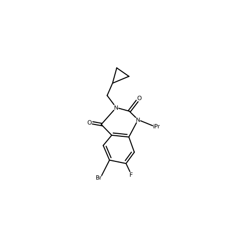 CC(C)n1c(=O)n(CC2CC2)c(=O)c2cc(Br)c(F)cc21